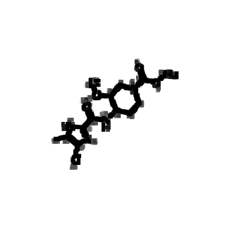 CCO[C@H]1CN(C(=O)OC(C)(C)C)CC[C@H]1NC(=O)c1nc(Cl)c(C)[nH]1